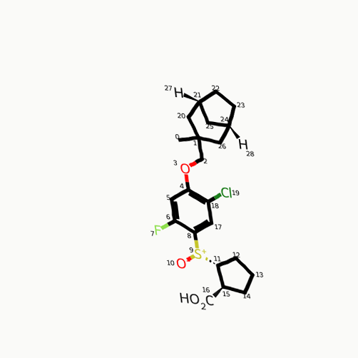 CC1(COc2cc(F)c([S+]([O-])[C@@H]3CCC[C@H]3C(=O)O)cc2Cl)C[C@@H]2CC[C@@H](C2)C1